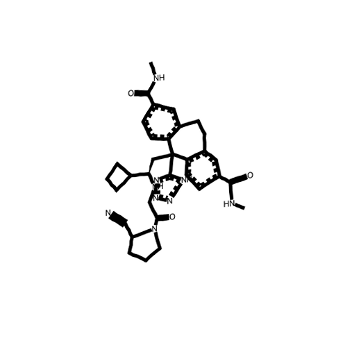 CNC(=O)c1ccc2c(c1)CCc1cc(C(=O)NC)ccc1C2(C[C@@H](NCC(=O)N1CCCC1C#N)C1CCC1)c1nnn[nH]1